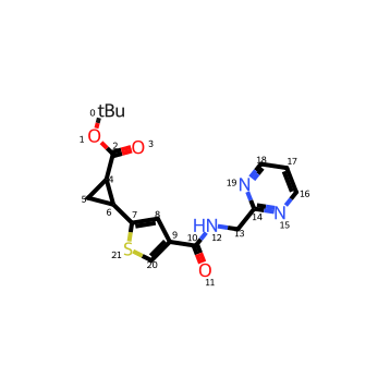 CC(C)(C)OC(=O)C1CC1c1cc(C(=O)NCc2ncccn2)cs1